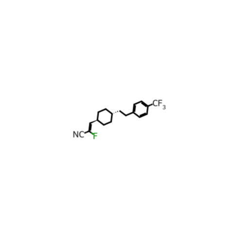 N#C/C(F)=C/[C@H]1CC[C@H](CCc2ccc(C(F)(F)F)cc2)CC1